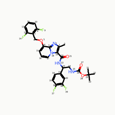 Cc1nc2c(OCc3c(F)cccc3F)cccn2c1C(=O)NC(CNC(=O)OC(C)(C)C)c1ccc(F)c(F)c1